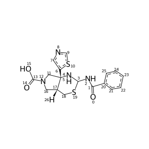 O=C(NC1N[C@@]2(c3cncs3)CN(C(=O)O)C[C@H]2CS1)c1ccccc1